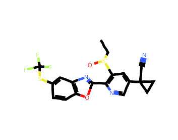 CC[S+]([O-])c1cc(C2(C#N)CC2)cnc1-c1nc2cc(SC(F)(F)F)ccc2o1